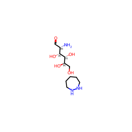 C1CCNNCC1.N[C@@H](C=O)[C@@H](O)[C@H](O)[C@H](O)CO